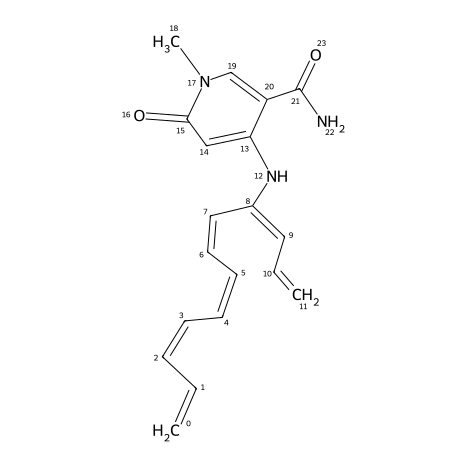 C=C\C=C/C=C\C=C/C(=C\C=C)Nc1cc(=O)n(C)cc1C(N)=O